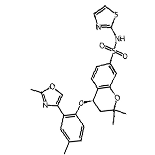 Cc1ccc(O[C@@H]2CC(C)(C)Oc3cc(S(=O)(=O)Nc4nccs4)ccc32)c(-c2coc(C)n2)c1